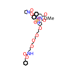 COC(=O)[C@H](Cc1ccc(OC(=O)N2CCCC2)cc1)NC(=O)[C@@H]1C[C@H](OCCCOCCOCCOCCCNC(=O)OCc2ccccc2)CN1S(=O)(=O)c1ccccc1